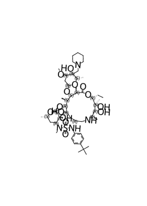 CC[C@H]1OC(=O)[C@H](C)[C@@H](O[C@H]2C[C@@](C)(OC)[C@](O)(CN3CCCCC3)[C@H](C)O2)[C@H](C)[C@@H](O[C@H]2O[C@@H](C)C[C@@H](N(C)S(=O)(=O)Nc3ccc(C(C)(C)C)cc3)[C@@H]2O)[C@](C)(O)C[C@@H](C)CN[C@H](C)[C@@H](O)[C@]1(C)O